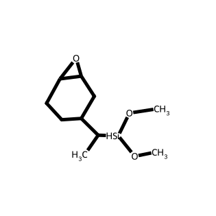 CO[SiH](OC)C(C)C1CCC2OC2C1